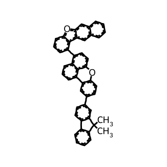 CC1(C)c2ccccc2-c2ccc(-c3ccc4c(c3)-c3cccc5c(-c6cccc7oc8cc9ccccc9cc8c67)ccc(c35)O4)cc21